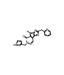 CN(Cc1ccn(C)n1)/N=C\c1c(C=O)n(C)c2nc(Cc3ccccn3)sc12